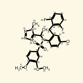 COc1ccc(S(=O)(=O)N(c2ccc(Cl)cc2Cc2c(F)cccc2F)C(C)c2nnnn2C)cc1OC